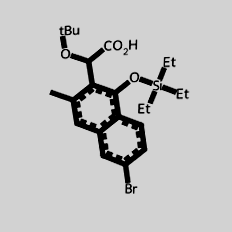 CC[Si](CC)(CC)Oc1c(C(OC(C)(C)C)C(=O)O)c(C)cc2cc(Br)ccc12